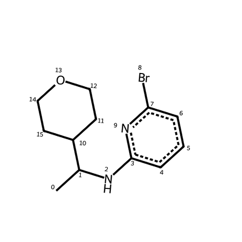 CC(Nc1cccc(Br)n1)C1CCOCC1